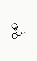 Clc1nc2c(c(N3C4CCC3COC4)n1)COCC2